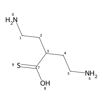 NCCC(CCN)C(O)=S